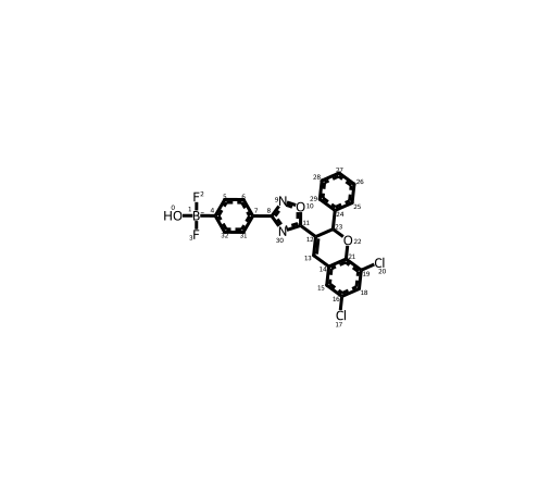 O[B-](F)(F)c1ccc(-c2noc(C3=Cc4cc(Cl)cc(Cl)c4OC3c3ccccc3)n2)cc1